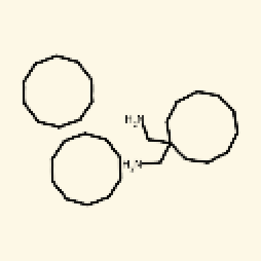 C1CCCCCCCCC1.C1CCCCCCCCC1.NCC1(CN)CCCCCCCCC1